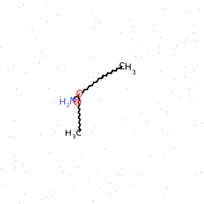 CCCCCCCCC=CCCCCCCCCOC(CN)COCCCCCCCCCCCC